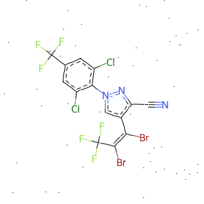 N#Cc1nn(-c2c(Cl)cc(C(F)(F)F)cc2Cl)cc1/C(Br)=C(/Br)C(F)(F)F